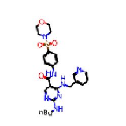 CCCCNc1ncc(C(=O)Nc2ccc(S(=O)(=O)N3CCOCC3)cc2)c(NCc2cccnc2)n1